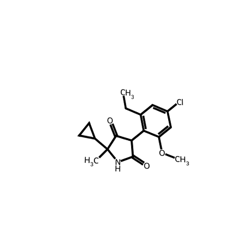 CCc1cc(Cl)cc(OC)c1C1C(=O)NC(C)(C2CC2)C1=O